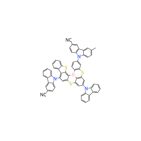 Cc1ccc2c(c1)c1cc(C#N)ccc1n2-c1ccc2c(c1)Sc1cc(-n3c4ccccc4c4ccccc43)cc3c1B2c1c(cc(-n2c4ccccc4c4cc(C#N)ccc42)c2c1sc1ccccc12)S3